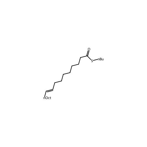 CCCCCCCCC=CCCCCCCCC(=O)SCCCC